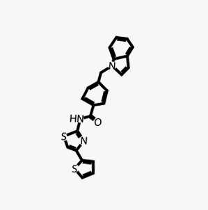 O=C(Nc1nc(-c2cccs2)cs1)c1ccc(Cn2ccc3ccccc32)cc1